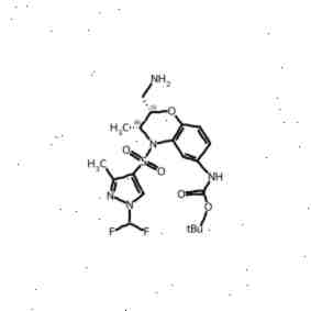 Cc1nn(C(F)F)cc1S(=O)(=O)N1c2cc(NC(=O)OC(C)(C)C)ccc2O[C@@H](CN)[C@H]1C